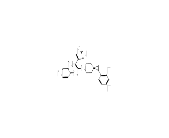 Cn1cc(-c2nc3cnccc3nc2N2CCC3(CC2)CC3c2ccc(F)cc2F)cn1